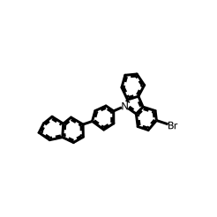 Brc1ccc2c(c1)c1ccccc1n2-c1ccc(-c2ccc3ccccc3c2)cc1